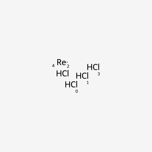 Cl.Cl.Cl.Cl.[Re]